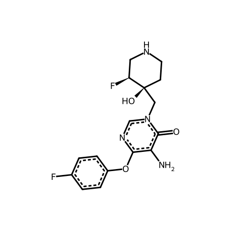 Nc1c(Oc2ccc(F)cc2)ncn(C[C@@]2(O)CCNC[C@@H]2F)c1=O